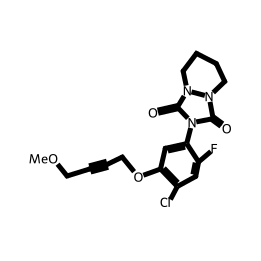 COCC#CCOc1cc(-n2c(=O)n3n(c2=O)CCCC3)c(F)cc1Cl